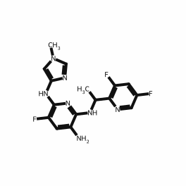 CC(Nc1nc(Nc2cn(C)cn2)c(F)cc1N)c1ncc(F)cc1F